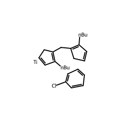 CCCCC1=C(CC2=C(CCCC)C=CC2)CC=C1.Clc1ccccc1.[Ti]